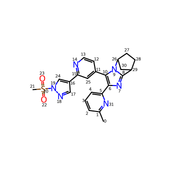 Cc1cccc(-c2nc3n(c2-c2ccnc(-c4cnn(S(C)(=O)=O)c4)c2)C2CCC3C2)n1